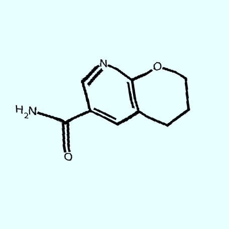 NC(=O)c1cnc2c(c1)CCCO2